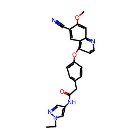 CCn1cc(NC(=O)Cc2ccc(Oc3ccnc4cc(OC)c(C#N)cc34)cc2)cn1